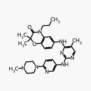 CCCN1C(=O)C(C)(C)Oc2ccc(Nc3nc(Nc4ccc(N5CCN(C)CC5)nc4)ncc3C)cc21